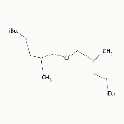 CCC(C)CCC(C)COCC(C)CCC(C)CC